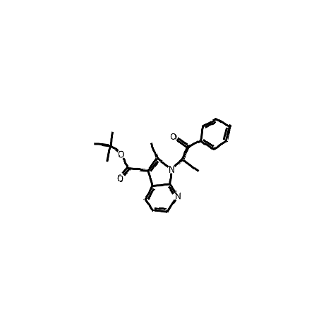 Cc1c(C(=O)OC(C)(C)C)c2cccnc2n1C(C)C(=O)c1ccccc1